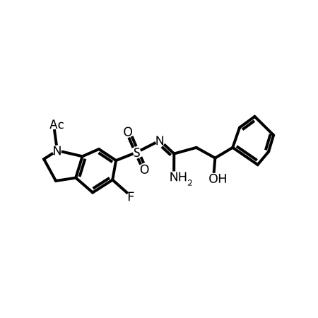 CC(=O)N1CCc2cc(F)c(S(=O)(=O)/N=C(\N)CC(O)c3ccccc3)cc21